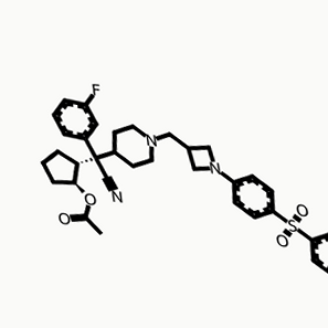 CC(=O)O[C@H]1CCC[C@@H]1C(C#N)(c1cccc(F)c1)C1CCN(CC2CN(c3ccc(S(=O)(=O)c4ccccc4)cc3)C2)CC1